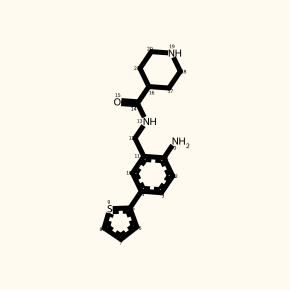 Nc1ccc(-c2cccs2)cc1CNC(=O)C1CCNCC1